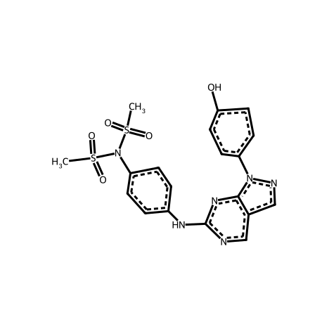 CS(=O)(=O)N(c1ccc(Nc2ncc3cnn(-c4ccc(O)cc4)c3n2)cc1)S(C)(=O)=O